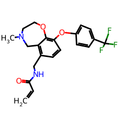 C=CC(=O)NCc1ccc(Oc2ccc(C(F)(F)F)cc2)c2c1CN(C)CCO2